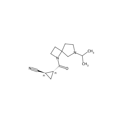 CC(C)N1CCC2(CCN2C(=O)[C@@H]2C[C@H]2C#N)C1